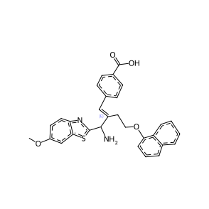 COc1ccc2nc(C(N)/C(=C/c3ccc(C(=O)O)cc3)CCOc3cccc4ccccc34)sc2c1